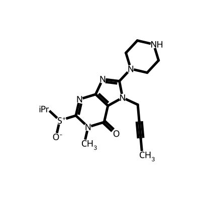 CC#CCn1c(N2CCNCC2)nc2nc([S+]([O-])C(C)C)n(C)c(=O)c21